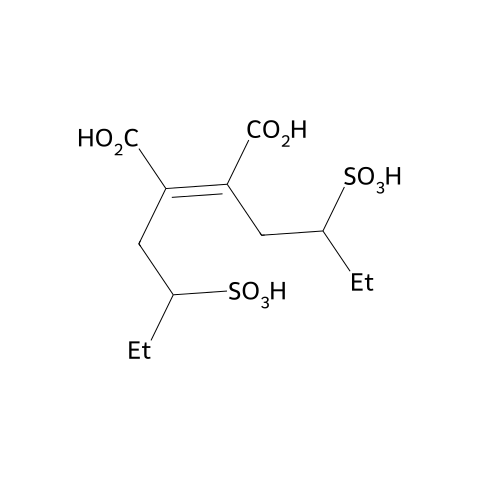 CCC(CC(C(=O)O)=C(CC(CC)S(=O)(=O)O)C(=O)O)S(=O)(=O)O